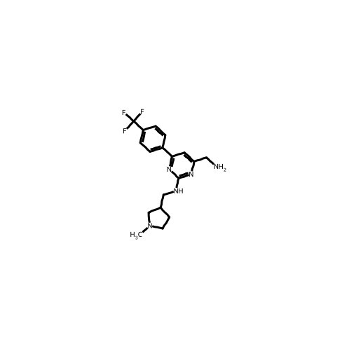 CN1CCC(CNc2nc(CN)cc(-c3ccc(C(F)(F)F)cc3)n2)C1